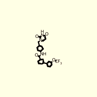 O=C(Nc1ccc(Cn2ccc(=O)[nH]c2=O)cc1)c1cccc(-c2cccc(OC(F)(F)F)c2)c1